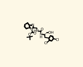 CC(C)(C)OC(=O)n1c(CNC(=O)N[C@H](CO)Cc2ccc(Cl)cc2Cl)nc2ccccc21